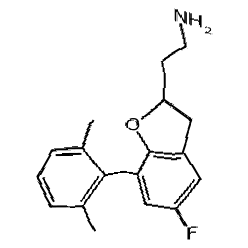 Cc1cccc(C)c1-c1cc(F)cc2c1OC(CCN)C2